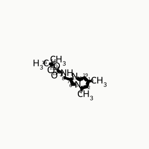 Cc1cc(C)n2cc(CNC(=O)OC(C)(C)C)nc2c1